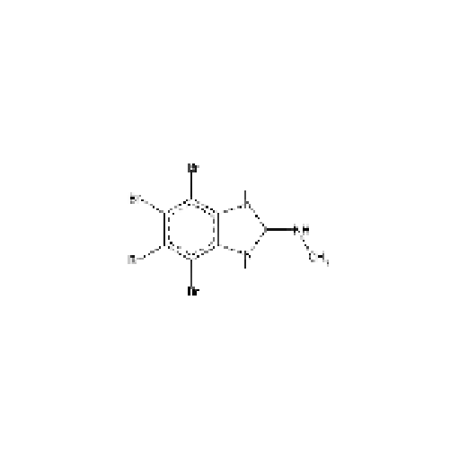 CNC1Nc2c(Br)c(Br)c(Br)c(Br)c2N1